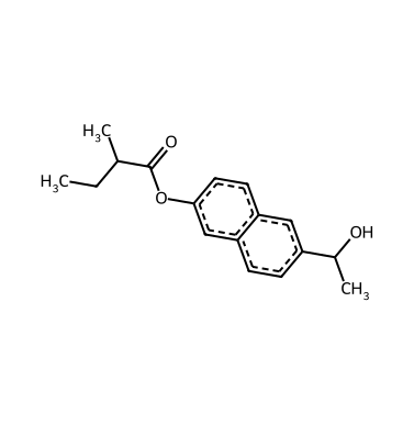 CCC(C)C(=O)Oc1ccc2cc(C(C)O)ccc2c1